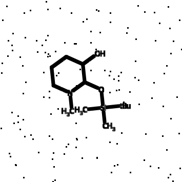 CN1CCCC(O)C1O[Si](C)(C)C(C)(C)C